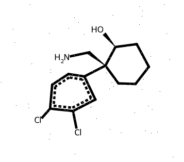 NC[C@]1(c2ccc(Cl)c(Cl)c2)CCCC[C@@H]1O